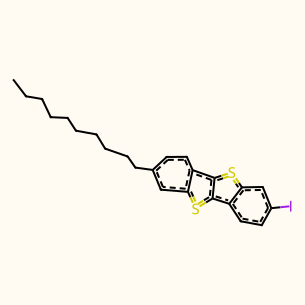 CCCCCCCCCCc1ccc2c(c1)sc1c3ccc(I)cc3sc21